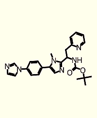 Cn1c(-c2ccc(-n3ccnc3)cc2)cnc1C(Cc1ccccn1)NC(=O)OC(C)(C)C